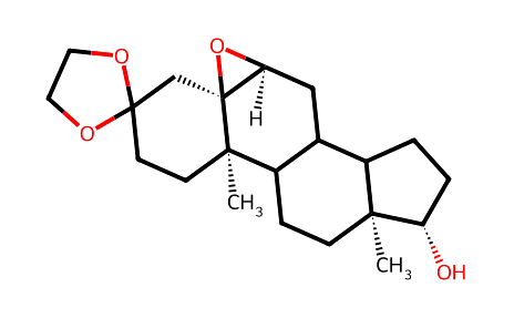 C[C@]12CCC3C(C[C@@H]4O[C@@]45CC4(CC[C@]35C)OCCO4)C1CC[C@@H]2O